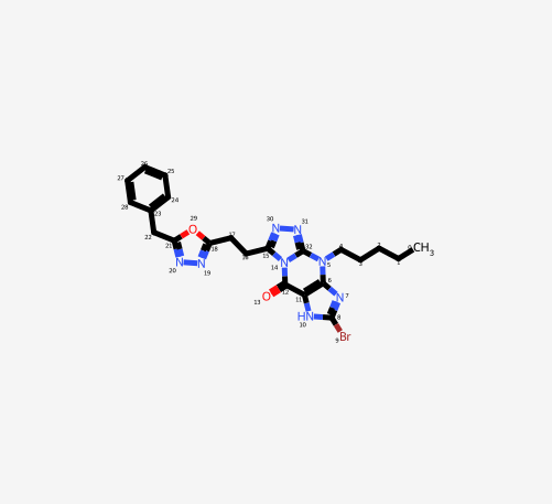 CCCCCn1c2nc(Br)[nH]c2c(=O)n2c(CCc3nnc(Cc4ccccc4)o3)nnc12